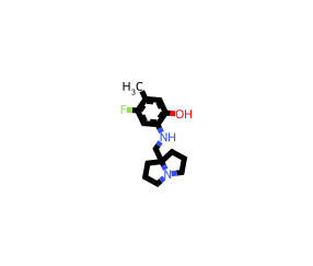 Cc1cc(O)c(NCC23CCCN2CCC3)cc1F